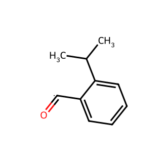 CC(C)c1ccccc1[C]=O